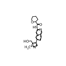 Cn1ncc(-c2ccc3cnc(NC(=O)C4CCCCO4)cc3c2)c1CO